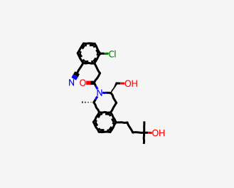 C[C@H]1c2cccc(CCC(C)(C)O)c2C[C@H](CO)N1C(=O)Cc1c(Cl)cccc1C#N